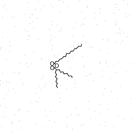 CCCCCCCCCCCCCCCC(=O)OC(=O)C(CCCCCCCC)CCCCCCCC